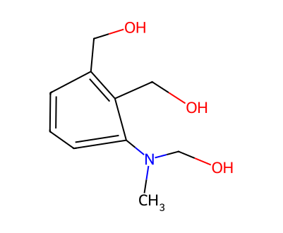 CN(CO)c1cccc(CO)c1CO